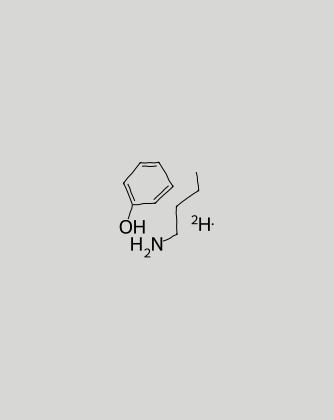 CCCCN.Oc1ccccc1.[2H]